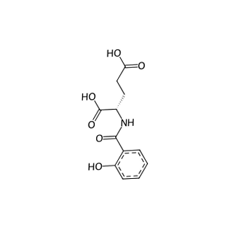 O=C(O)CC[C@H](NC(=O)c1ccccc1O)C(=O)O